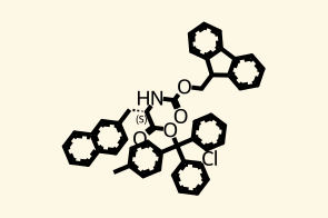 Cc1ccc(C(OC(=O)[C@H](Cc2ccc3ccccc3c2)NC(=O)OCC2c3ccccc3-c3ccccc32)(c2ccccc2)c2ccccc2Cl)cc1